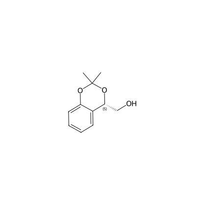 CC1(C)Oc2ccccc2[C@@H](CO)O1